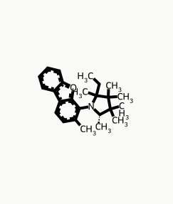 CCC1(C)N(c2c(C)ccc3c2oc2ccccc23)[C@@H](C)C(C)(C)C1(C)C